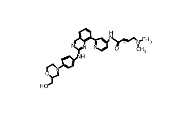 CN(C)C/C=C/C(=O)Nc1ccnc(-c2cccc3cnc(Nc4ccc(N5CCOC(CO)C5)cc4)nc23)c1